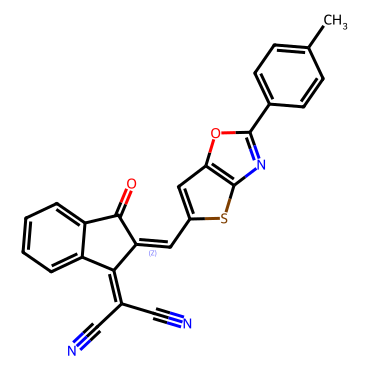 Cc1ccc(-c2nc3sc(/C=C4\C(=O)c5ccccc5C4=C(C#N)C#N)cc3o2)cc1